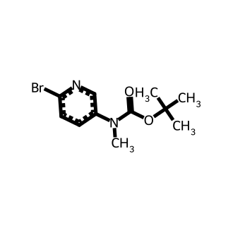 CN(C(=O)OC(C)(C)C)c1ccc(Br)nc1